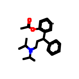 CC(=O)Oc1cc[c]cc1C(CCN(C(C)C)C(C)C)c1ccccc1